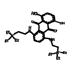 CC[N+](CC)(CC)CCNc1ccc(NCC[N+](CC)(CC)CC)c2c1C(=O)c1c(O)ccc(O)c1C2=O